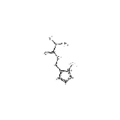 [2H]C(C)C(=O)OCc1nccn1C